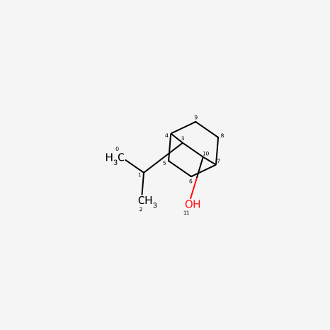 CC(C)C1C2CCC(CC2)C1O